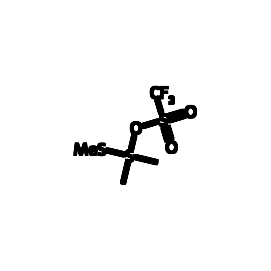 CSS(C)(C)OS(=O)(=O)C(F)(F)F